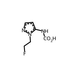 O=C(O)Nc1ccnn1CCF